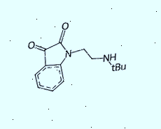 CC(C)(C)NCCN1C(=O)C(=O)c2ccccc21